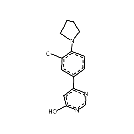 Oc1cc(-c2ccc(N3CCCC3)c(Cl)c2)ncn1